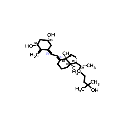 C=C1/C(=C/C=C2\CCC[C@]3(C)[C@@H]([C@H](C)OCCC(C)(C)O)CC[C@]23C)C[C@@H](O)C[C@@H]1O